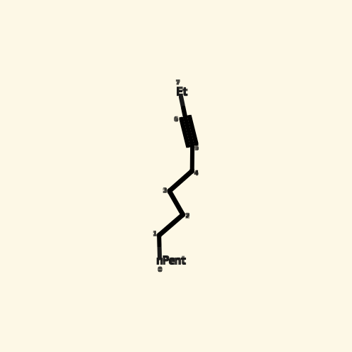 [CH2]CCCCCCCCC#CCC